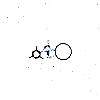 Cc1cc(C)c(-n2ccn(C3CCCCCCCCCCC3)[c]2=[Au+])c(C)c1.[Cl-]